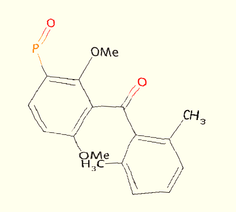 COc1ccc(P=O)c(OC)c1C(=O)c1c(C)cccc1C